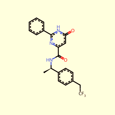 C[C@@H](NC(=O)c1cc(=O)[nH]c(-c2ccccc2)n1)c1ccc(CC(F)(F)F)cc1